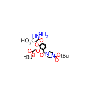 CC(C)(C)OC(=O)COc1c(OC(C(=O)O)C(=O)NN)cccc1C(=O)N1CCN(C(=O)OC(C)(C)C)CC1